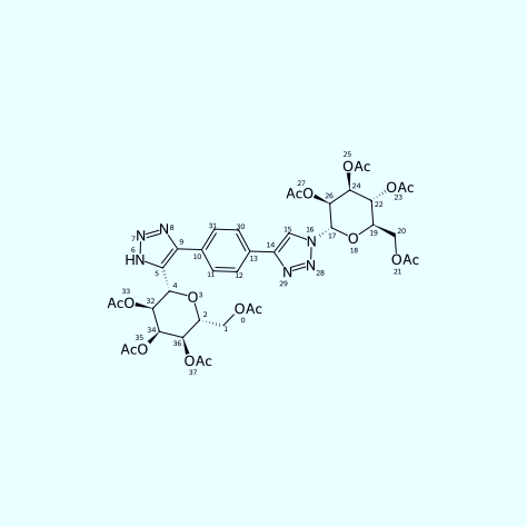 CC(=O)OC[C@H]1O[C@@H](c2[nH]nnc2-c2ccc(-c3cn([C@H]4O[C@H](COC(C)=O)[C@@H](OC(C)=O)[C@H](OC(C)=O)[C@@H]4OC(C)=O)nn3)cc2)[C@H](OC(C)=O)[C@H](OC(C)=O)[C@@H]1OC(C)=O